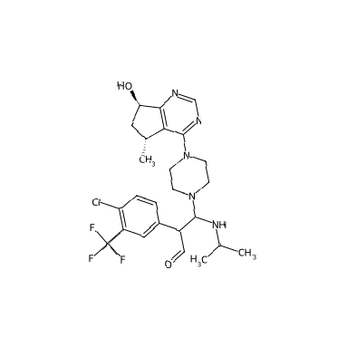 CC(C)NC(C(C=O)c1ccc(Cl)c(C(F)(F)F)c1)N1CCN(c2ncnc3c2[C@H](C)C[C@H]3O)CC1